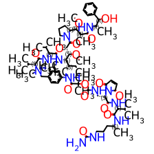 CC[C@H](C)[C@@H]([C@H](CC(=O)N1CCC[C@H]1[C@H](OC)[C@@H](C)C(=O)N[C@H](C)[C@H](O)c1ccccc1)OC)N(C)C(=O)[C@@H](NC(=O)[C@H](C(C)C)[N+](C)(C)Cc1ccc(NC(=O)C(C)(C)OC(=O)NC[C@@H](C(=O)N[C@H](C(=O)N[C@@H](C)CCCNC(N)=O)C(C)C)N2C(=O)C=CC2=O)cc1)C(C)C